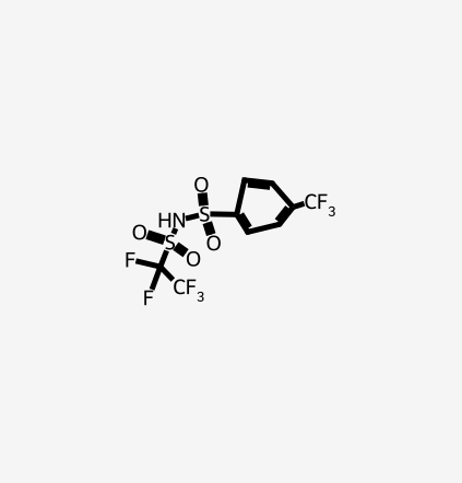 O=S(=O)(NS(=O)(=O)C(F)(F)C(F)(F)F)c1ccc(C(F)(F)F)cc1